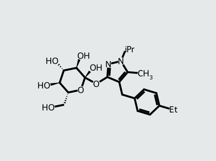 CCc1ccc(Cc2c(O[C@]3(O)O[C@H](CO)[C@@H](O)[C@H](O)[C@H]3O)nn(C(C)C)c2C)cc1